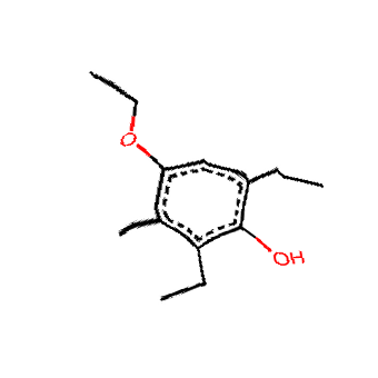 CCOc1cc(CC)c(O)c(CC)c1C